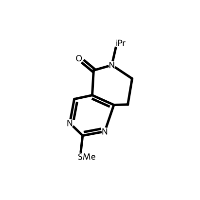 CSc1ncc2c(n1)CCN(C(C)C)C2=O